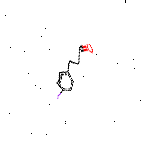 O=CCCc1ccc(I)cc1